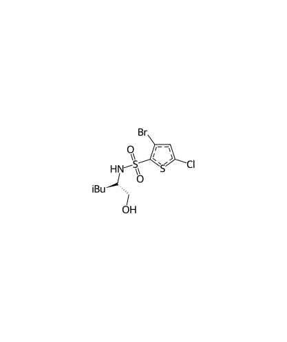 CC[C@H](C)[C@@H](CO)NS(=O)(=O)c1sc(Cl)cc1Br